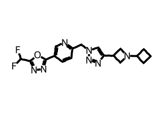 FC(F)c1nnc(-c2ccc(Cn3cc(C4CN(C5CCC5)C4)nn3)nc2)o1